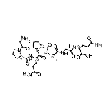 C[C@H](NC(=O)[C@@H]1CCCN1C(=O)[C@H](CCC(N)=O)NC(=O)[C@@H]1CCCN1C(=O)CN)C(=O)NCC(=O)N[C@@H](CCC(N)=O)C(=O)O